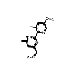 COCc1cc(=O)[nH]c(-c2ncc(OC)cc2C)n1